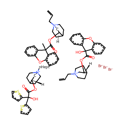 C=CC[N+]12CCC(CC1)[C@@H](OC(=O)C1(C)c3ccccc3Oc3ccccc31)C2.C=CC[N+]12CCC(CC1)[C@@H](OC(=O)C1(O)c3ccccc3Oc3ccccc31)C2.CCCCCCC[N+]12CCC(CC1)[C@@H](OC(=O)C(O)(c1cccs1)c1cccs1)C2.[Br-].[Br-].[Br-]